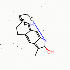 CC1=c2cc3c4cc2N(NCCC2=C(CC3)C=4CC=C2)[C@H]1O